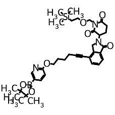 CC1(C)OB(c2ccc(OCCCCC#Cc3cccc4c3CN(C3CCC(=O)N(COCC[Si](C)(C)C)C3=O)C4=O)nc2)OC1(C)C